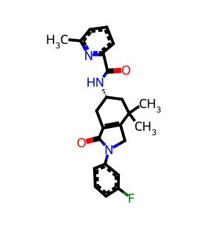 Cc1cccc(C(=O)N[C@H]2CC3=C(CN(c4cccc(F)c4)C3=O)C(C)(C)C2)n1